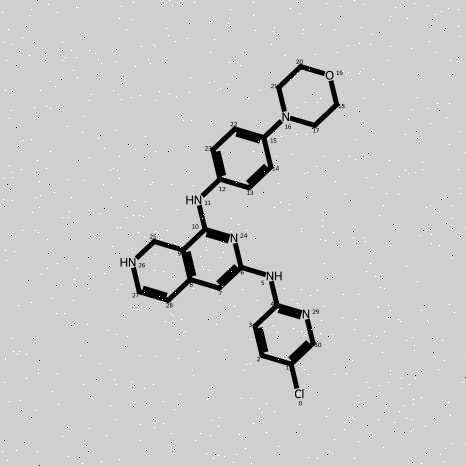 Clc1ccc(Nc2cc3c(c(Nc4ccc(N5CCOCC5)cc4)n2)CNC=C3)nc1